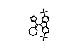 CC(C)(C)c1ccc2c(c1)[CH]([Zr]([C]1=CC=CC1)=[C]1CCCCCC1)c1cc(C(C)(C)C)ccc1-2